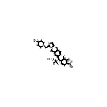 CCC1CCN(Cc2nccn2Cc2cc([C@@H](c3ccc4c(nnn4CC)c3C)C(C)(C)C(=O)O)ccc2C)CC1